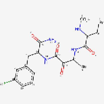 CCC(C)C(NC(=O)C(CC(C)C)NC(=O)O)C(=O)C(=O)NC(Cc1cccc(F)c1)C(N)=O